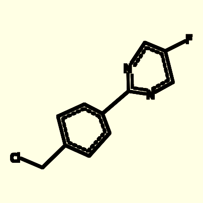 Fc1cnc(-c2ccc(CCl)cc2)nc1